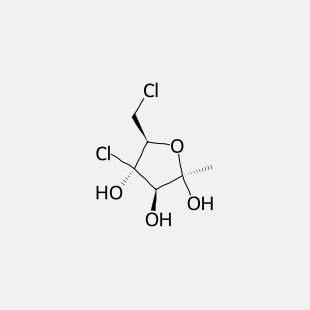 C[C@@]1(O)O[C@H](CCl)[C@](O)(Cl)[C@@H]1O